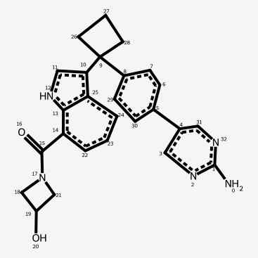 Nc1ncc(-c2ccc(C3(c4c[nH]c5c(C(=O)N6CC(O)C6)cccc45)CCC3)cc2)cn1